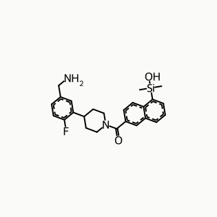 C[Si](C)(O)c1cccc2cc(C(=O)N3CCC(c4cc(CN)ccc4F)CC3)ccc12